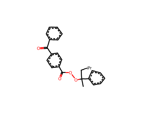 CC(C)CC(C)(OOC(=O)c1ccc(C(=O)c2ccccc2)cc1)c1ccccc1